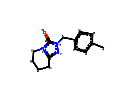 Cc1ccc(Cn2nc3n(c2=O)CCCC3)cc1